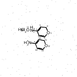 Cl.NC1=CCOC=C1.NC1=CCOC=C1.O